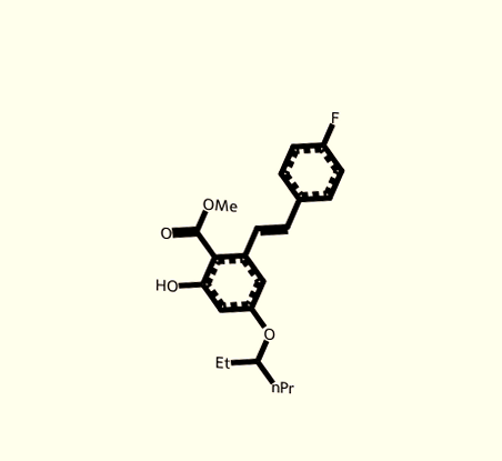 CCCC(CC)Oc1cc(O)c(C(=O)OC)c(C=Cc2ccc(F)cc2)c1